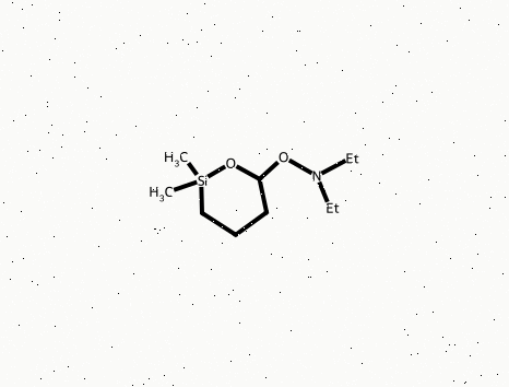 CCN(CC)OC1CCC[Si](C)(C)O1